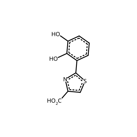 O=C(O)c1csc(-c2cccc(O)c2O)n1